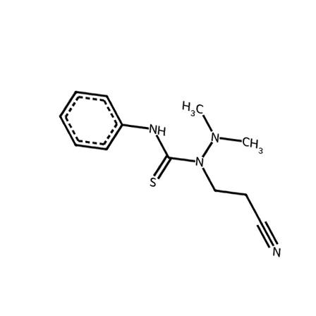 CN(C)N(CCC#N)C(=S)Nc1ccccc1